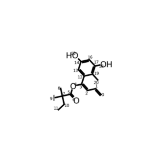 C=C/C=C(/OC(=O)C(C)(I)CC)c1cc(O)cc(O)c1C